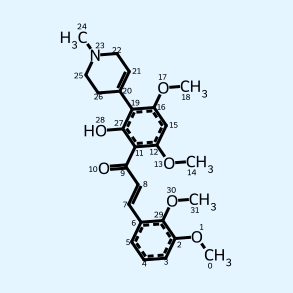 COc1cccc(/C=C/C(=O)c2c(OC)cc(OC)c(C3=CCN(C)CC3)c2O)c1OC